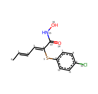 C/C=C/C=C(\Sc1ccc(Cl)cc1)C(=O)NO